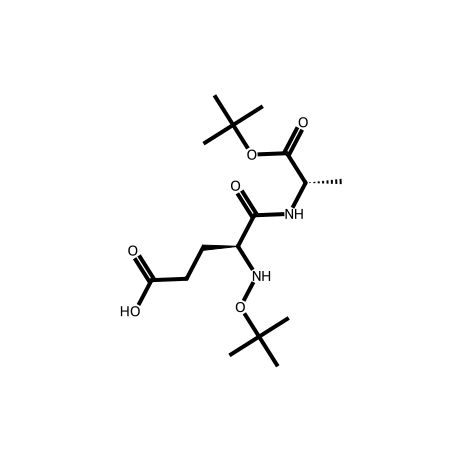 C[C@H](NC(=O)[C@H](CCC(=O)O)NOC(C)(C)C)C(=O)OC(C)(C)C